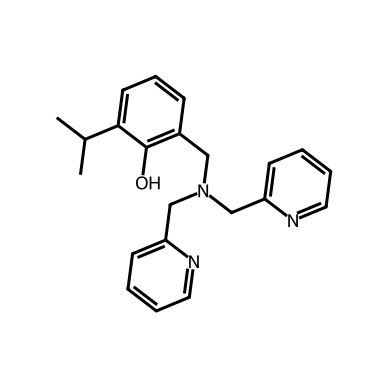 CC(C)c1cccc(CN(Cc2ccccn2)Cc2ccccn2)c1O